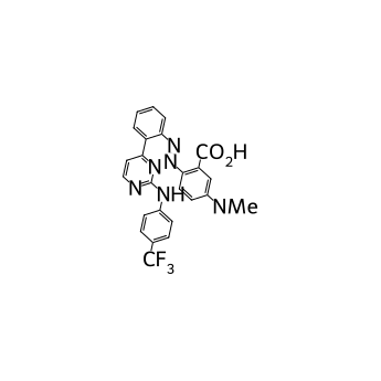 CNc1ccc(N=Nc2ccccc2-c2ccnc(Nc3ccc(C(F)(F)F)cc3)n2)c(C(=O)O)c1